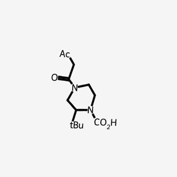 CC(=O)CC(=O)N1CCN(C(=O)O)C(C(C)(C)C)C1